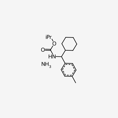 Cc1ccc(C(NC(=O)OC(C)C)C2CCCCC2)cc1.N